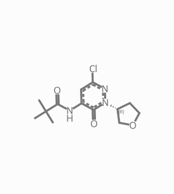 CC(C)(C)C(=O)Nc1cc(Cl)nn([C@@H]2CCOC2)c1=O